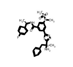 C[C@@H](NC(=O)c1cc(-c2nnc([C@@](C)(N)Cc3ccccc3)s2)cc(N(C)S(C)(=O)=O)c1)c1ccc(F)cc1